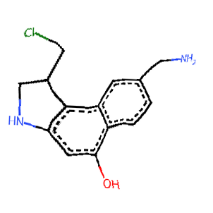 NCc1ccc2c(O)cc3c(c2c1)C(CCl)CN3